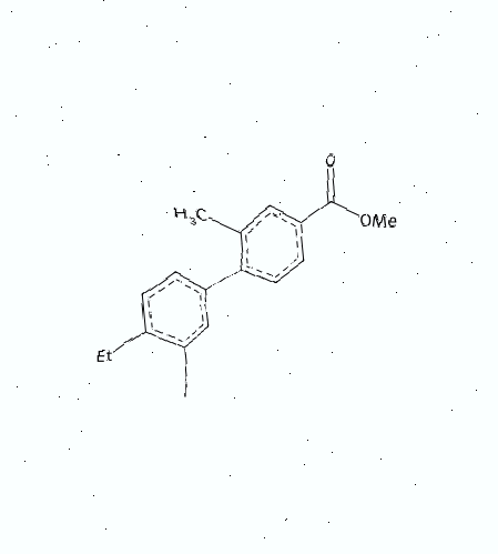 CCc1ccc(-c2ccc(C(=O)OC)cc2C)cc1I